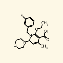 CCOC1=C(C(=O)O)C(C)=CC(N2CCOCC2)N1Cc1cccc(F)c1